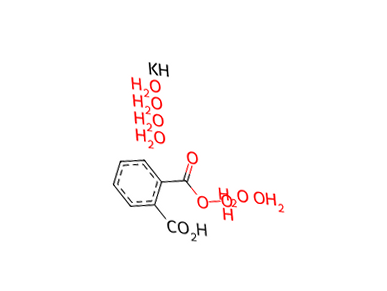 O.O.O.O.O.O.O=C(O)c1ccccc1C(=O)OO.[KH]